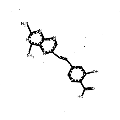 Nc1nc(N)c2nc(/C=C/c3ccc(C(=O)O)c(O)c3)cnc2n1